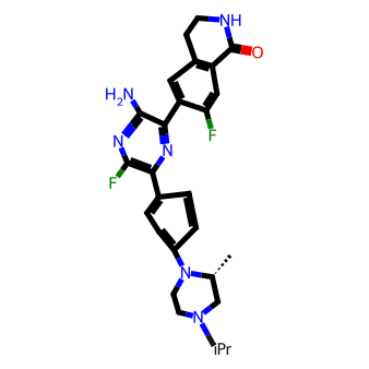 CC(C)N1CCN(c2ccc(-c3nc(-c4cc5c(cc4F)C(=O)NCC5)c(N)nc3F)cc2)[C@H](C)C1